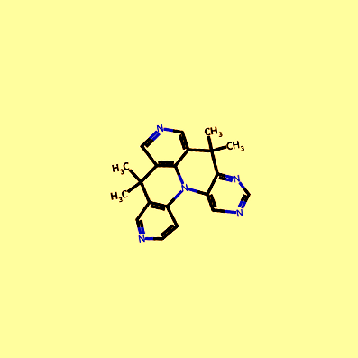 CC1(C)c2cnccc2N2c3cncnc3C(C)(C)c3cncc1c32